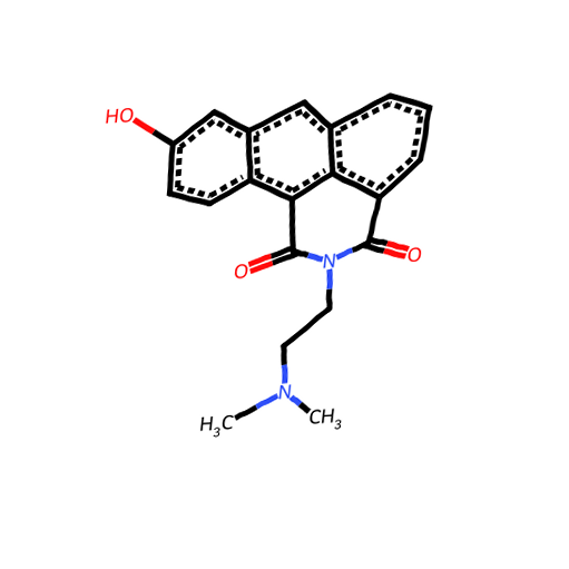 CN(C)CCN1C(=O)c2cccc3cc4cc(O)ccc4c(c23)C1=O